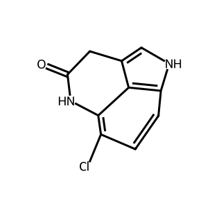 O=C1Cc2c[nH]c3ccc(Cl)c(c23)N1